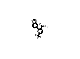 NC(=O)c1ccc(C(F)(F)F)nc1-c1ccc2scnc2c1